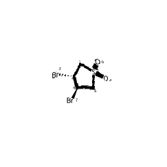 O=S1(=O)C[C@@H](Br)[C@H](Br)C1